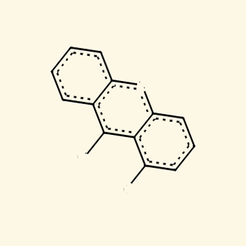 Cc1cccc2nc3ccccc3c(Cl)c12